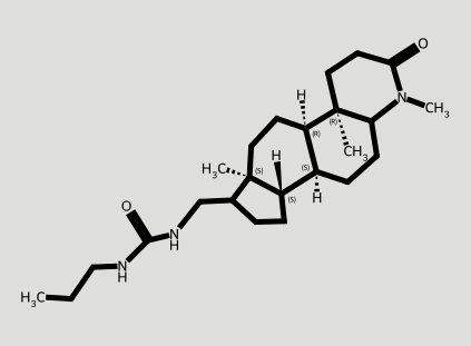 CCCNC(=O)NCC1CC[C@H]2[C@@H]3CCC4N(C)C(=O)CC[C@]4(C)[C@@H]3CC[C@]12C